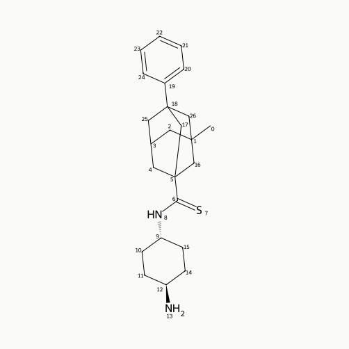 CC12CC3CC(C(=S)N[C@H]4CC[C@H](N)CC4)(C1)CC(c1ccccc1)(C3)C2